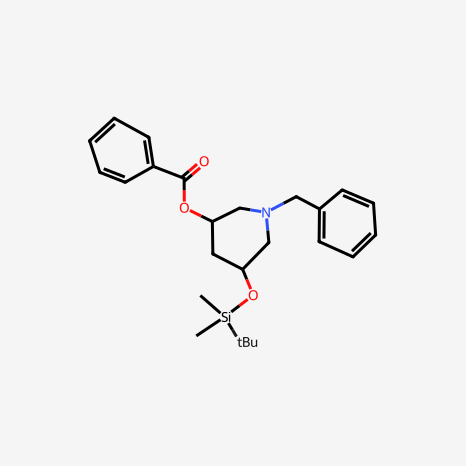 CC(C)(C)[Si](C)(C)OC1CC(OC(=O)c2ccccc2)CN(Cc2ccccc2)C1